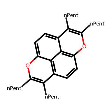 CCCCCC1=C(CCCCC)c2ccc3c4c(ccc(c24)O1)C(CCCCC)=C(CCCCC)O3